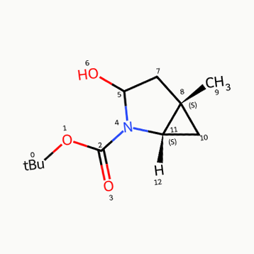 CC(C)(C)OC(=O)N1C(O)C[C@]2(C)C[C@H]12